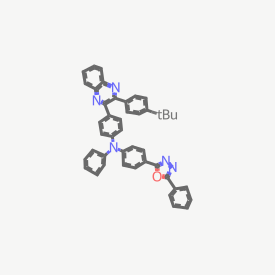 CC(C)(C)c1ccc(-c2nc3ccccc3nc2-c2ccc(N(c3ccccc3)c3ccc(-c4nnc(-c5ccccc5)o4)cc3)cc2)cc1